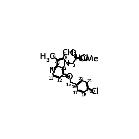 COC(=O)Cn1c(C)c(C)c2nccc(OCc3ccc(Cl)cc3)c21.Cl